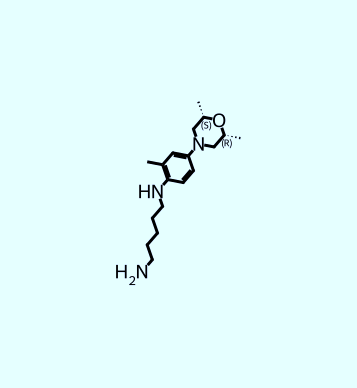 Cc1cc(N2C[C@@H](C)O[C@@H](C)C2)ccc1NCCCCCN